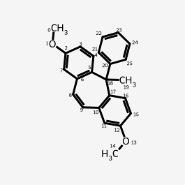 COc1ccc2c(c1)C=Cc1cc(OC)ccc1C2(C)c1ccccc1